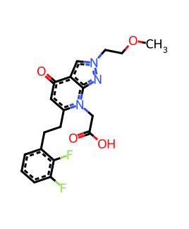 COCCn1cc2c(=O)cc(CCc3cccc(F)c3F)n(CC(=O)O)c2n1